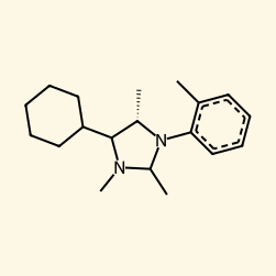 Cc1ccccc1N1C(C)N(C)C(C2CCCCC2)[C@@H]1C